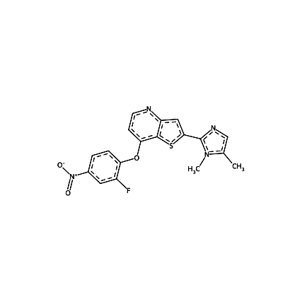 Cc1cnc(-c2cc3nccc(Oc4ccc([N+](=O)[O-])cc4F)c3s2)n1C